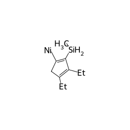 CCC1=C(CC)C([SiH2]C)=[C]([Ni])C1